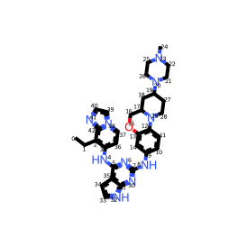 CCc1c(Nc2nc(Nc3ccc4c(c3)OCC3CC(N5CCN(C)CC5)CCN43)nc3[nH]ccc23)ccn2ccnc12